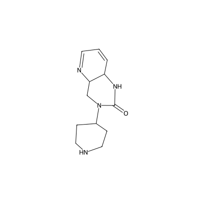 O=C1NC2C=CC=NC2CN1C1CCNCC1